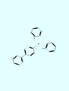 O=P(Oc1ccccc1)(Oc1ccccc1)c1ccc(-c2ccccc2)cn1